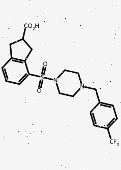 O=C(O)C1Cc2cccc(S(=O)(=O)N3CCN(Cc4ccc(C(F)(F)F)cc4)CC3)c2C1